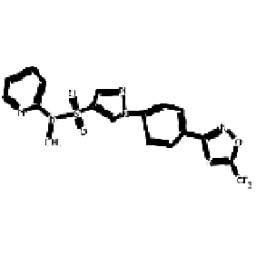 CN(c1ccccn1)S(=O)(=O)c1cnn(-c2ccc(-c3noc(C(F)(F)F)n3)cc2)c1